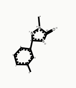 Cc1cccc(-c2nn(C)c(=O)s2)c1